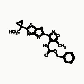 Cc1onc(-c2nc3nc(C4(C(=O)O)CC4)sc3s2)c1NC(=O)OCc1ccccc1